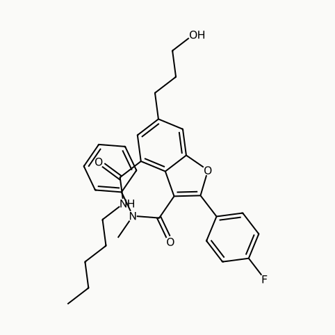 CCCCCNC(=O)c1cc(CCCO)cc2oc(-c3ccc(F)cc3)c(C(=O)N(C)c3ccccc3)c12